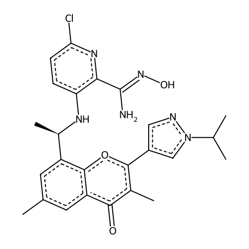 Cc1cc([C@@H](C)Nc2ccc(Cl)nc2/C(N)=N/O)c2oc(-c3cnn(C(C)C)c3)c(C)c(=O)c2c1